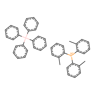 Cc1ccccc1[PH+](c1ccccc1C)c1ccccc1C.c1ccc([B-](c2ccccc2)(c2ccccc2)c2ccccc2)cc1